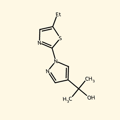 CCc1cnc(-n2cc(C(C)(C)O)cn2)s1